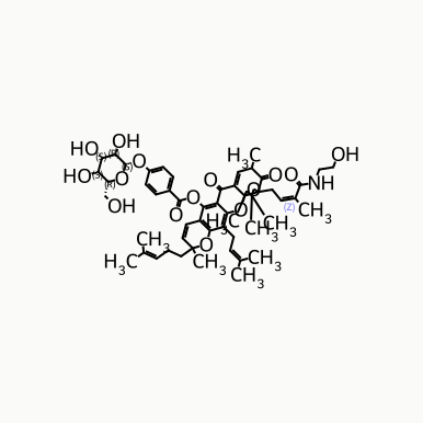 CC(C)=CCCC1(C)C=Cc2c(c(CC=C(C)C)c3c(c2OC(=O)c2ccc(O[C@@H]4O[C@H](CO)[C@@H](O)[C@H](O)[C@H]4O)cc2)C(=O)C2=CC(C)C(=O)C4(C/C=C(/C)C(=O)NCCO)OC(C)(C)C(C)C24O3)O1